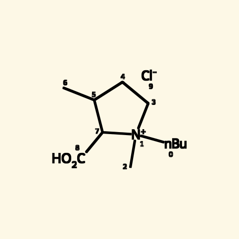 CCCC[N+]1(C)CCC(C)C1C(=O)O.[Cl-]